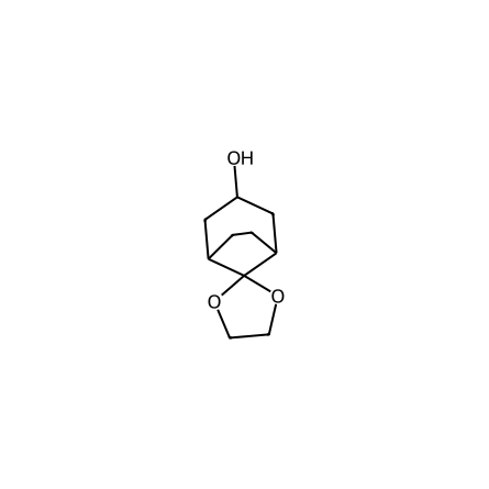 OC1CC2CCC(C1)C21OCCO1